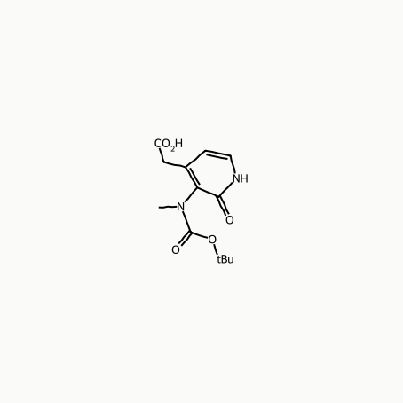 CN(C(=O)OC(C)(C)C)c1c(CC(=O)O)cc[nH]c1=O